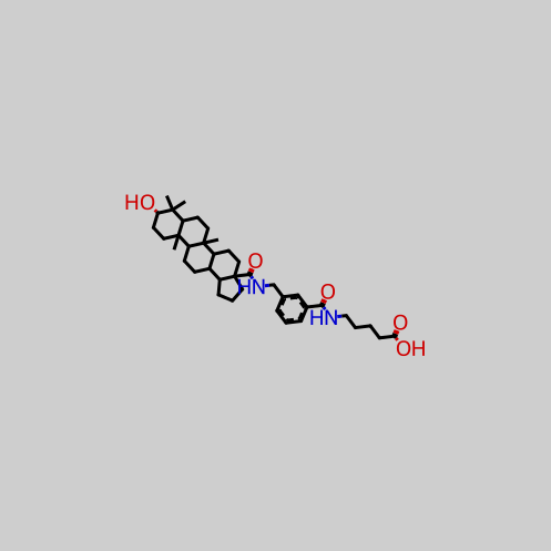 CC1(C)C(O)CCC2(C)C1CCC1(C)C3CCC4(C(=O)NCc5cccc(C(=O)NCCCCC(=O)O)c5)CCCC4C3CCC12